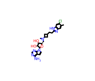 Cc1cc2nc(CCC3CC(N(C)C[C@H]4O[C@@H](n5ccc6c(N)ncnc65)[C@H](O)[C@@H]4O)C3)[nH]c2cc1Cl